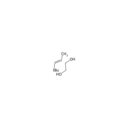 C/C=C/C(C)(C)C.OCCO